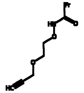 C#CCOCCONC(=O)C(C)C